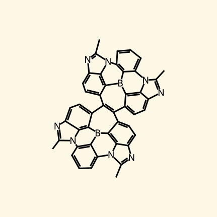 Cc1nc2ccc3c4c2n1-c1cccc2c1B4c1c(ccc4nc(C)n-2c14)C1=C3c2ccc3nc(C)n4c3c2B2c3c-4cccc3-n3c(C)nc4ccc1c2c43